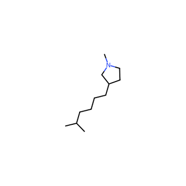 CC(C)CCCCC1CCN(C)C1